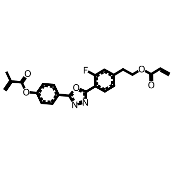 C=CC(=O)OCCc1ccc(-c2nnc(-c3ccc(OC(=O)C(=C)C)cc3)o2)c(F)c1